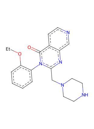 CCOc1ccccc1-n1c(CN2CCNCC2)nc2cnccc2c1=O